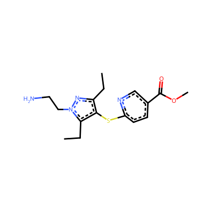 CCc1nn(CCN)c(CC)c1Sc1ccc(C(=O)OC)cn1